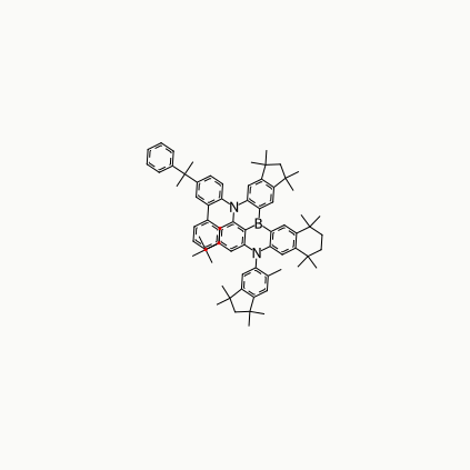 Cc1cc2c(cc1N1c3cc4c(cc3B3c5cc6c(cc5N(c5ccc(C(C)(C)c7ccccc7)cc5-c5ccccc5)c5cc(C(C)(C)C)cc1c53)C(C)(C)CC6(C)C)C(C)(C)CCC4(C)C)C(C)(C)CC2(C)C